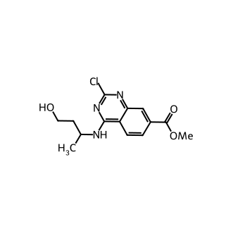 COC(=O)c1ccc2c(NC(C)CCO)nc(Cl)nc2c1